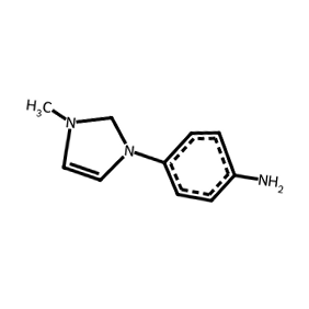 CN1C=CN(c2ccc(N)cc2)C1